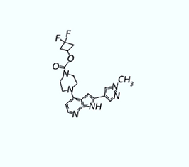 Cn1cc(-c2cc3c(N4CCN(C(=O)OC5CC(F)(F)C5)CC4)ccnc3[nH]2)cn1